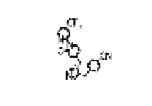 N#Cc1ccc(Cc2cncn2Cc2ccn(-c3cc(C(F)(F)F)ccn3)c(=O)c2)cc1